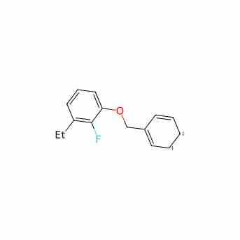 CCc1cccc(OCC2=C[C][C]C=C2)c1F